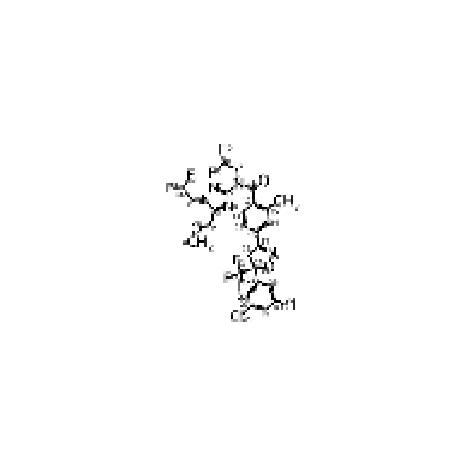 COCc1nc(N(CC(F)F)C(=O)c2ccc(C3=NOC(c4cc(Cl)cc(Cl)c4)(C(F)(F)F)C3)cc2C)nn1CC(F)F